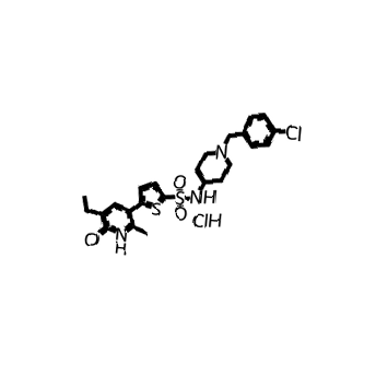 CCc1cc(-c2ccc(S(=O)(=O)NC3CCN(Cc4ccc(Cl)cc4)CC3)s2)c(C)[nH]c1=O.Cl